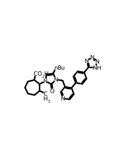 CCCCc1cn(C2C(C)CCCCC2C(=O)O)c(=O)n1Cc1cnccc1-c1ccc(-c2nnn[nH]2)cc1